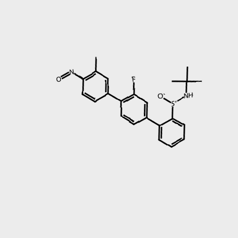 Cc1cc(-c2ccc(-c3ccccc3[S+]([O-])NC(C)(C)C)cc2F)ccc1N=O